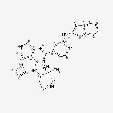 CC1(C)CNCCC1Nc1nc(-c2ccnc(Nc3cc4ccccn4n3)c2)nc2cncc(C3=CC=C3)c12